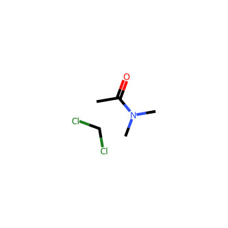 CC(=O)N(C)C.ClCCl